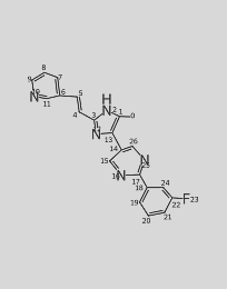 Cc1[nH]c(C=Cc2cccnc2)nc1-c1cnc(-c2cccc(F)c2)nc1